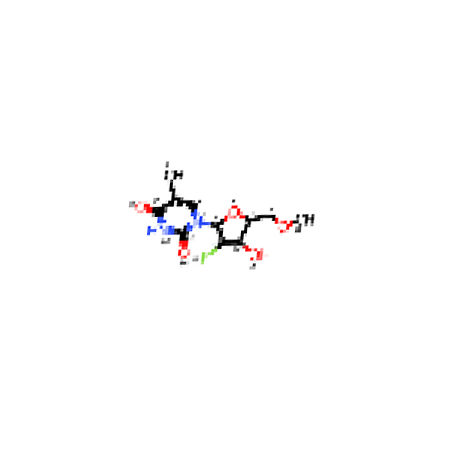 COCC1OC(n2cc(C)c(=O)[nH]c2=O)C(F)C1O